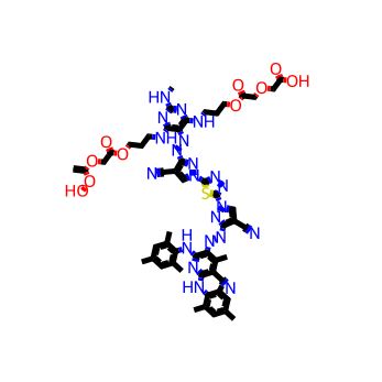 C=C(OO)OCC(=O)OCCCNc1nc(NC)nc(NCCCOC(=O)COCC(=O)O)c1N=Nc1nn(-c2nnc(-n3cc(C#N)c(N=Nc4c(Nc5c(C)cc(C)cc5C)nc(Nc5c(C)cc(C)cc5C)c(C#N)c4C)n3)s2)cc1C#N